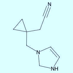 N#CCC1(CN2C=CNC2)CC1